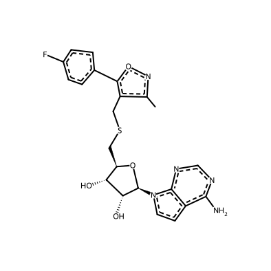 Cc1noc(-c2ccc(F)cc2)c1CSC[C@H]1O[C@@H](n2ccc3c(N)ncnc32)[C@H](O)[C@@H]1O